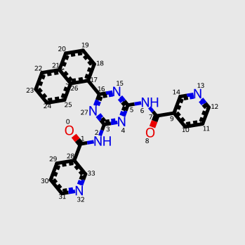 O=C(Nc1nc(NC(=O)c2cccnc2)nc(-c2cccc3ccccc23)n1)c1cccnc1